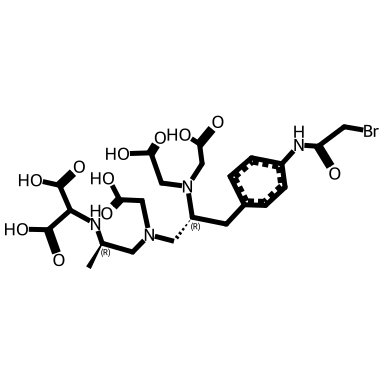 C[C@H](CN(CC(=O)O)C[C@@H](Cc1ccc(NC(=O)CBr)cc1)N(CC(=O)O)CC(=O)O)NC(C(=O)O)C(=O)O